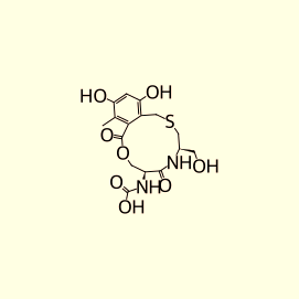 Cc1c(O)cc(O)c2c1C(=O)OC[C@H](NC(=O)O)C(=O)N[C@H](CO)CSC2